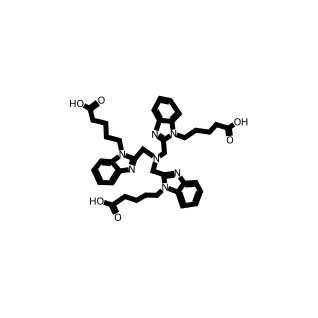 O=C(O)CCCCn1c(CN(Cc2nc3ccccc3n2CCCCC(=O)O)Cc2nc3ccccc3n2CCCCC(=O)O)nc2ccccc21